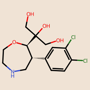 OCC(O)(CO)[C@@H]1OCCNC[C@H]1c1ccc(Cl)c(Cl)c1